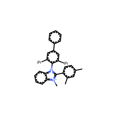 Cc1ccc(-c2n(-c3c(C(C)C)cc(-c4ccccc4)cc3C(C)C)c3ccccc3[n+]2C)c(C)c1